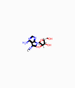 [C-]#[N+]c1cn([C@@H]2O[C@H](CO)[C@@H](O)[C@@]2(C)O)c2ncnc(N)c12